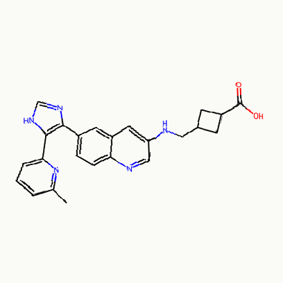 Cc1cccc(-c2[nH]cnc2-c2ccc3ncc(NCC4CC(C(=O)O)C4)cc3c2)n1